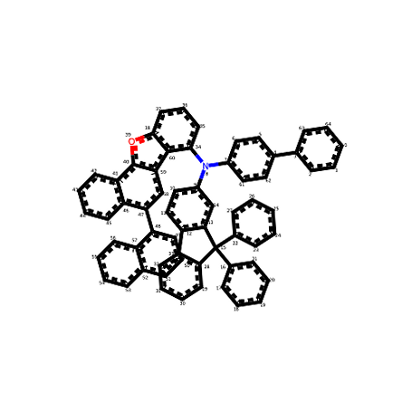 c1ccc(-c2ccc(N(c3ccc4c(c3)C(c3ccccc3)(c3ccccc3)c3ccccc3-4)c3cccc4oc5c6ccccc6c(-c6cccc7ccccc67)cc5c34)cc2)cc1